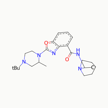 CC1CN(C(C)(C)C)CCN1c1nc2c(C(=O)NC3CC4CCN3CC4)cccc2o1